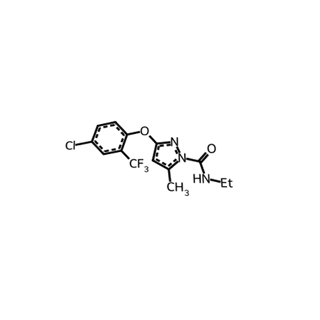 CCNC(=O)n1nc(Oc2ccc(Cl)cc2C(F)(F)F)cc1C